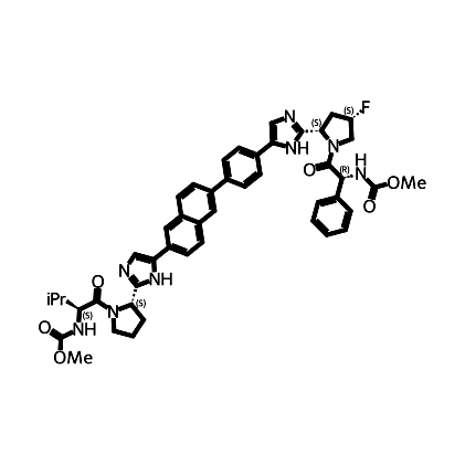 COC(=O)N[C@H](C(=O)N1CCC[C@H]1c1ncc(-c2ccc3cc(-c4ccc(-c5cnc([C@@H]6C[C@H](F)CN6C(=O)[C@H](NC(=O)OC)c6ccccc6)[nH]5)cc4)ccc3c2)[nH]1)C(C)C